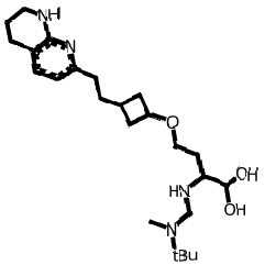 CN(CNC(CCOC1CC(CCc2ccc3c(n2)NCCC3)C1)C(O)O)C(C)(C)C